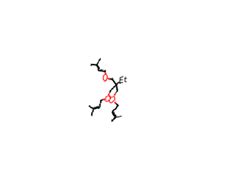 CCC(COCC=C(C)C)(COCC=C(C)C)COCC=C(C)C